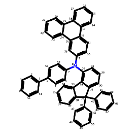 c1ccc(-c2ccc(N(c3ccc4c5ccccc5c5ccccc5c4c3)c3cccc4c3-c3ccccc3C4(c3ccccc3)c3ccccc3)cc2)cc1